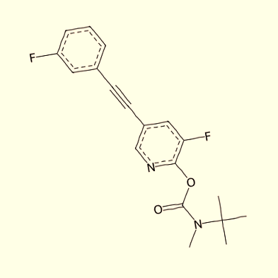 CN(C(=O)Oc1ncc(C#Cc2cccc(F)c2)cc1F)C(C)(C)C